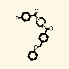 O=C(c1ccc(F)cc1)N1CCN(C(=O)c2ccc(COc3ccccc3)cc2)CC1